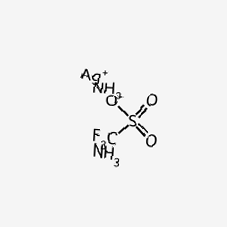 N.N.O=S(=O)([O-])C(F)(F)F.[Ag+]